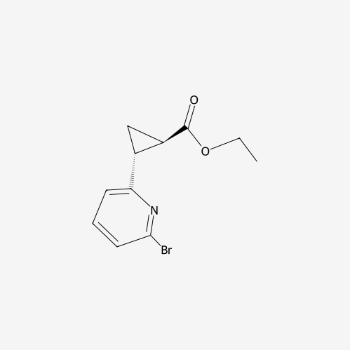 CCOC(=O)[C@@H]1C[C@H]1c1cccc(Br)n1